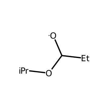 CCC([O])OC(C)C